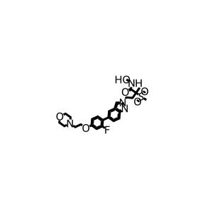 CC(CCn1cc2cc(-c3ccc(OCCN4CCOCC4)cc3F)ccc2n1)(C(=O)NO)S(C)(=O)=O